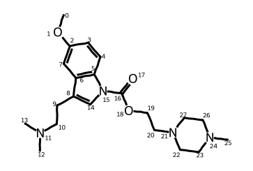 COc1ccc2c(c1)c(CCN(C)C)cn2C(=O)OCCN1CCN(C)CC1